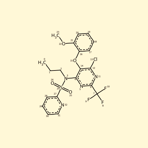 CCCN(c1nc(C(F)(F)F)nc(Cl)c1Oc1ccccc1OC)S(=O)(=O)c1ccccn1